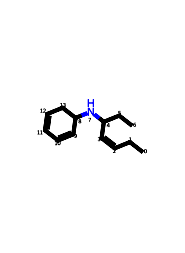 CC/C=C\C(CC)NC1C=CC=CC1